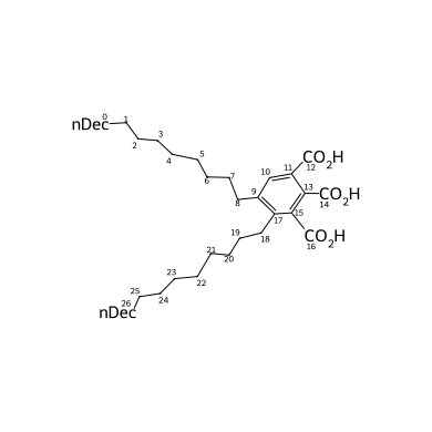 CCCCCCCCCCCCCCCCCCc1cc(C(=O)O)c(C(=O)O)c(C(=O)O)c1CCCCCCCCCCCCCCCCCC